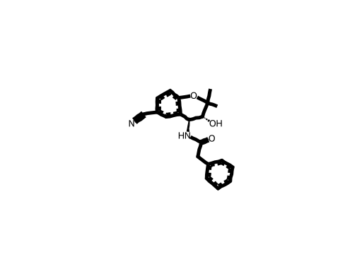 CC1(C)Oc2ccc(C#N)cc2[C@H](NC(=O)Cc2ccccc2)[C@H]1O